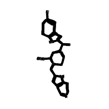 O=CC1CN(C(=O)c2cc3cc(Cl)ccc3[nH]2)CCN1Cc1cc2cnccc2[nH]1